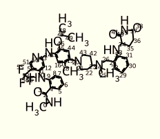 CNC(=O)c1ccccc1Nc1cc(Nc2cc(C)c(N3CCC(N(C)Cc4ccccc4NC4CCC(=O)NC4=O)CC3)cc2OC(C)C)ncc1C(F)(F)F